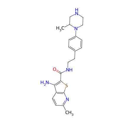 Cc1ccc2c(N)c(C(=O)NCCc3ccc(N4CCNCC4C)cc3)sc2n1